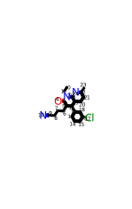 CCn1c(=O)c(CCCC#N)c(-c2cccc(Cl)c2)c2ccc(C)nc21